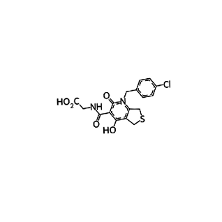 O=C(O)CNC(=O)c1c(O)c2c(n(Cc3ccc(Cl)cc3)c1=O)CSC2